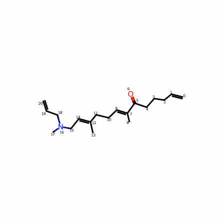 C=CCCCC(=O)/C(C)=C/CC/C(C)=C/CN(C)CC=C